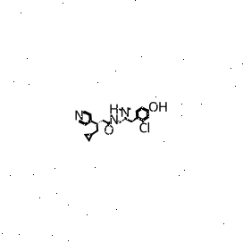 CN(C)[C@H](CNC(=O)C[C@H](CC1CC1)c1ccncc1)Cc1ccc(O)cc1Cl